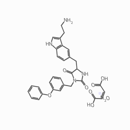 NCCc1c[nH]c2ccc(CC3NC(=O)N(Cc4cccc(Oc5ccccc5)c4)C3=O)cc12.O.O=C(O)/C=C\C(=O)O